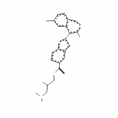 CCN(CC)CC(O)CNC(=O)c1ccc2[nH]c(-c3c(N)ncc4ccc(Cl)cc34)cc2c1